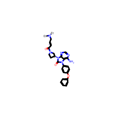 CCN(CC)C/C=C/C(=O)N1CC[C@H](n2c(=O)n(-c3ccc(Oc4ccccc4)cc3)c3c(N)ncnc32)C1